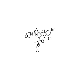 O=C(NOCC1CC1)c1cn2c(N3CCOCC3)cnc2c(Cl)c1Nc1ccc(Br)cc1Cl